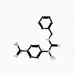 CN(C(=O)OCc1ccccc1)c1ccc(C(=O)O)cc1